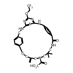 C=C1COc2ccc(cc2)CNc2nc(nc(OCC(F)(F)F)n2)Nc2ccc(cc2)C(=O)NCC(C)(C)CN(C(=O)C(=O)O)C1